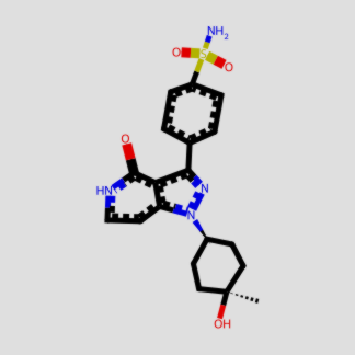 C[C@]1(O)CC[C@@H](n2nc(-c3ccc(S(N)(=O)=O)cc3)c3c(=O)[nH]ccc32)CC1